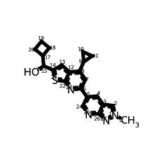 Cn1cc2cc(-c3cc(C4CC4)c4cc(C(O)C5CCC5)sc4n3)cnc2n1